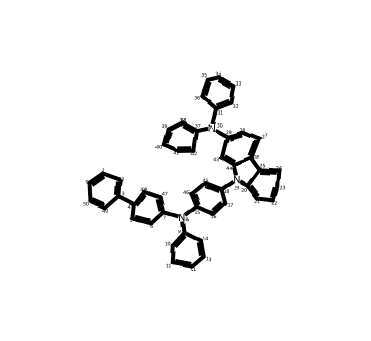 c1ccc(-c2ccc(N(c3ccccc3)c3ccc(-n4c5ccccc5c5ccc(N(c6ccccc6)c6ccccc6)cc54)cc3)cc2)cc1